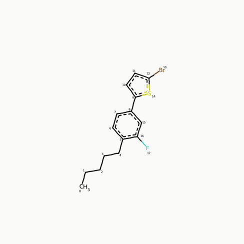 CCCCCc1ccc(-c2ccc(Br)s2)cc1F